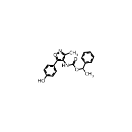 Cc1noc(-c2ccc(O)cc2)c1NC(=O)O[C@H](C)c1ccccc1